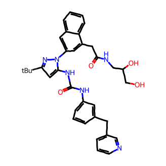 CC(C)(C)c1cc(NC(=O)Nc2cccc(Cc3cccnc3)c2)n(-c2cc(CC(=O)NCC(O)CO)c3ccccc3c2)n1